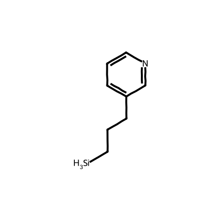 [SiH3]CCCc1cccnc1